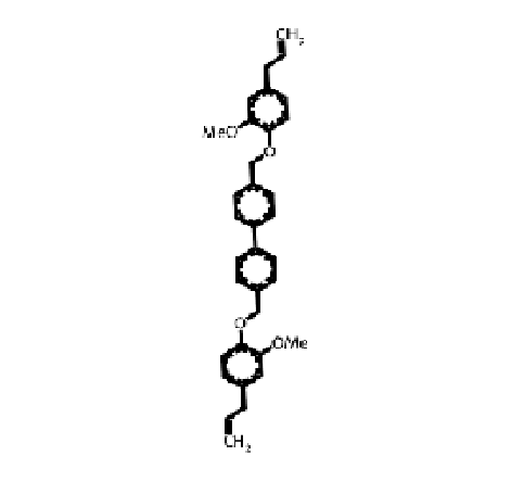 C=CCc1ccc(OCc2ccc(-c3ccc(COc4ccc(CC=C)cc4OC)cc3)cc2)c(OC)c1